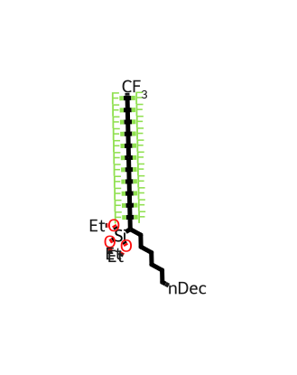 CCCCCCCCCCCCCCCCC(C(F)(F)C(F)(F)C(F)(F)C(F)(F)C(F)(F)C(F)(F)C(F)(F)C(F)(F)C(F)(F)C(F)(F)C(F)(F)C(F)(F)F)[Si](OCC)(OCC)OCC